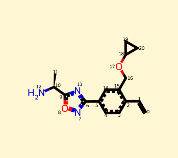 C=Cc1ccc(-c2noc([C@H](C)N)n2)cc1COC1CC1